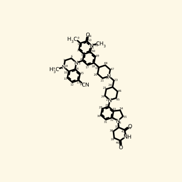 Cc1cc2c(N3CCN(C)c4ccc(C#N)cc43)cc(C3CCN(CC4CCN(c5cccc6c5CCN6C5CCC(=O)NC5=O)CC4)CC3)cc2n(C)c1=O